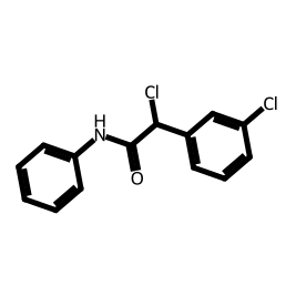 O=C(Nc1ccccc1)C(Cl)c1cccc(Cl)c1